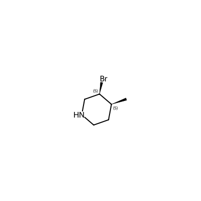 C[C@H]1CCNC[C@H]1Br